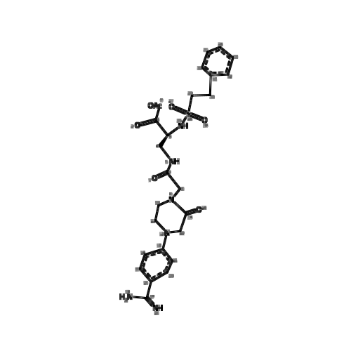 CC(=O)OC(=O)[C@H](CNC(=O)CN1CCN(c2ccc(C(=N)N)cc2)CC1=O)NS(=O)(=O)CCc1ccccc1